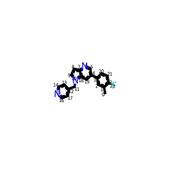 Cc1cc(-c2cnc3ccn(Cc4ccncc4)c3c2)ccc1F